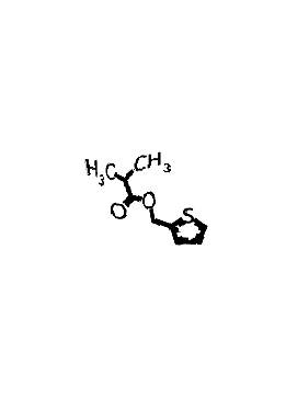 CC(C)C(=O)OCc1cccs1